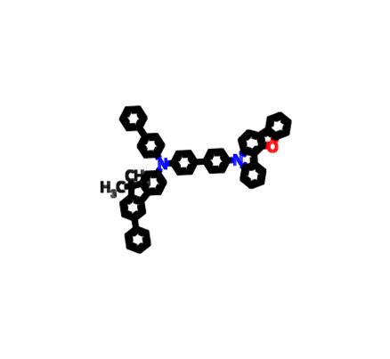 CC1(C)c2ccc(-c3ccccc3)cc2-c2ccc(N(c3ccc(-c4ccccc4)cc3)c3ccc(-c4ccc(-n5c6ccccc6c6c7oc8ccccc8c7ccc65)cc4)cc3)cc21